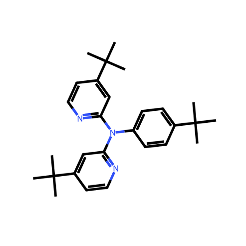 CC(C)(C)c1ccc(N(c2cc(C(C)(C)C)ccn2)c2cc(C(C)(C)C)ccn2)cc1